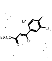 CCOC(=O)C(=O)C=C([O-])c1ccc(F)c(C(F)(F)F)c1.[Li+]